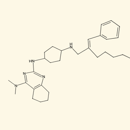 CCCCCC(=Cc1ccccc1)CNC1CCC(Nc2nc3c(c(N(C)C)n2)CCCC3)CC1